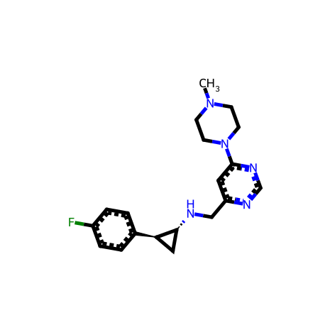 CN1CCN(c2cc(CN[C@@H]3C[C@H]3c3ccc(F)cc3)ncn2)CC1